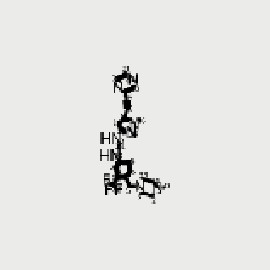 CN1CCN(Cc2ccc(NCNc3cc(C#Cc4cnccn4)n(C)n3)cc2C(F)(F)F)CC1